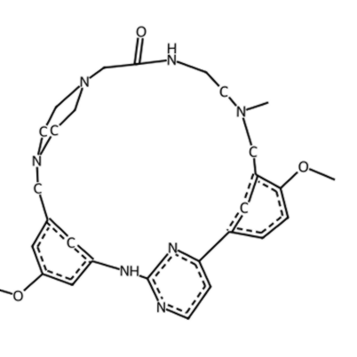 COc1cc2cc(c1)Nc1nccc(n1)-c1ccc(OC)c(c1)CN(C)CCNC(=O)CN1CCN(CC1)C2